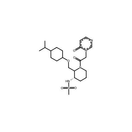 CC(C)C1CCC(OCC2[C@@H](NS(C)(=O)=O)CCCN2C(=O)Cn2cnccc2=O)CC1